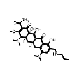 CCCNCc1cc(N(C)C)c2c(c1O)C(=O)C1=C(O)[C@]3(O)C(=O)C(C(N)=O)=C(O)[C@H](N(C)C)[C@@H]3C[C@@H]1C2